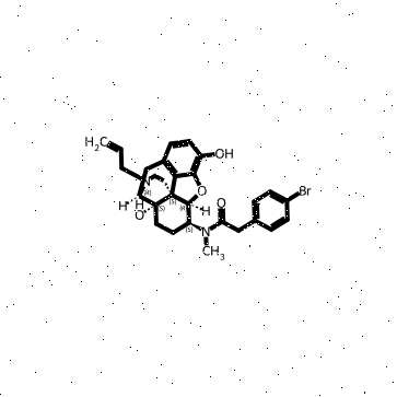 C=CCN1CC[C@]23c4c5ccc(O)c4O[C@H]2[C@@H](N(C)C(=O)Cc2ccc(Br)cc2)CC[C@@]3(O)[C@H]1C5